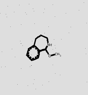 COC1NCCCc2ccccc21